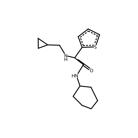 O=C(NC1CCCCC1)C(NCC1CC1)c1cccs1